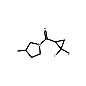 O=C(C1CC1(F)F)N1CCC(F)C1